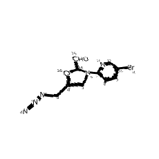 [N-]=[N+]=NCC1CN(c2ccc(Br)cn2)C(C=O)O1